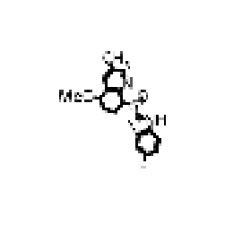 COC1CCC([S+]([O-])c2nc3cc(F)ccc3[nH]2)c2ncc(C)cc21